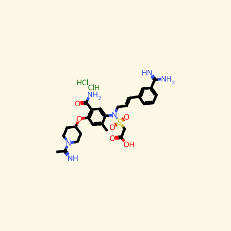 CC(=N)N1CCC(Oc2cc(C)c(N(C/C=C/c3cccc(C(=N)N)c3)S(=O)(=O)CC(=O)O)cc2C(N)=O)CC1.Cl.Cl